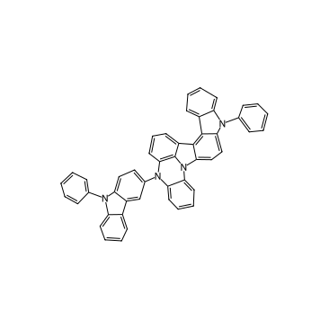 c1ccc(-n2c3ccccc3c3cc(N4c5ccccc5-n5c6ccc7c(c8ccccc8n7-c7ccccc7)c6c6cccc4c65)ccc32)cc1